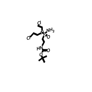 CC(C)(C)OC(=O)NCCP(N)(=O)N(CCCl)CCCl